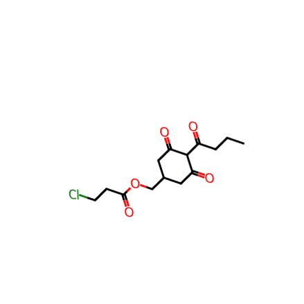 CCCC(=O)C1C(=O)CC(COC(=O)CCCl)CC1=O